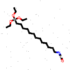 CCO[Si](CCCCCCCCCCCCCN=C=O)(OCC)OCC